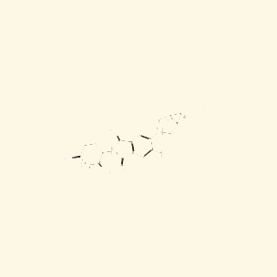 O=C[C@@H]1C2CN(c3cc4c(cc3F)C(=O)N(C3CCC(=O)NC3=O)C4=O)C[C@H]21